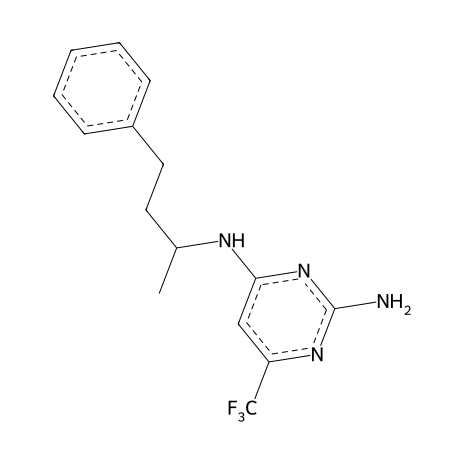 CC(CCc1ccccc1)Nc1cc(C(F)(F)F)nc(N)n1